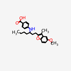 CCCCC(CCc1oc2ccc(OC)cc2c1C)Nc1ccc(C(=O)O)cc1